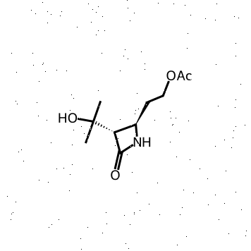 CC(=O)OCC[C@H]1NC(=O)[C@@H]1C(C)(C)O